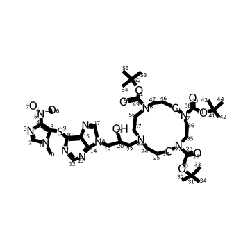 Cn1cnc([N+](=O)[O-])c1Sc1ncnc2c1ncn2CC(O)CN1CCCN(C(=O)OC(C)(C)C)CCN(C(=O)OC(C)(C)C)CCCN(C(=O)OC(C)(C)C)CC1